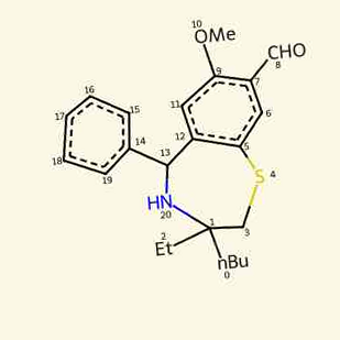 CCCCC1(CC)CSc2cc(C=O)c(OC)cc2C(c2ccccc2)N1